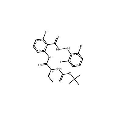 CC[C@H](NC(=O)OC(C)(C)C)C(=O)Nc1cccc(F)c1C(=O)NNc1c(F)cccc1F